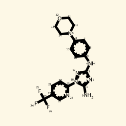 Nc1nc(Nc2ccc(N3CCOCC3)cc2)nn1-c1ccc(C(F)(F)F)cn1